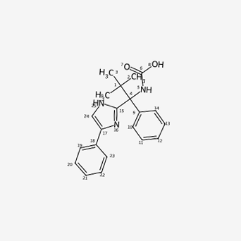 CC(C)(C)C(NC(=O)O)(c1ccccc1)c1nc(-c2ccccc2)c[nH]1